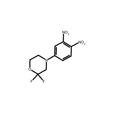 O=[N+]([O-])c1ccc(N2CCOC(F)(F)C2)cc1[N+](=O)[O-]